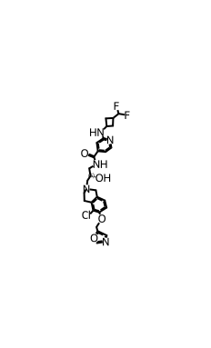 O=C(NC[C@H](O)CN1CCc2c(ccc(OCc3cnco3)c2Cl)C1)c1ccnc(NC2CC(C(F)F)C2)c1